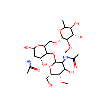 CO[C@H]1[C@H](OCC2OC(O)[C@@H](NC(C)=O)[C@@H](O)C2OC2O[C@@H](CO)[C@@H](OC)C(O)C2NC(C)=O)OC(C)C(O)[C@@H]1O